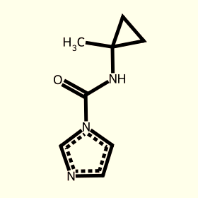 CC1(NC(=O)n2ccnc2)CC1